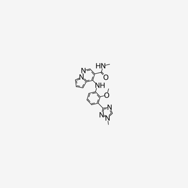 CNC(=O)c1cnn2cccc2c1Nc1cccc(-c2ncn(C)n2)c1OC